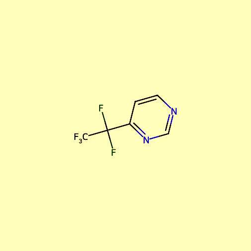 FC(F)(F)C(F)(F)c1ccncn1